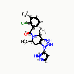 CC1CC2=C(NNN2c2ccn[nH]2)C(C)N1C(=O)c1cccc(C(F)(F)F)c1Cl